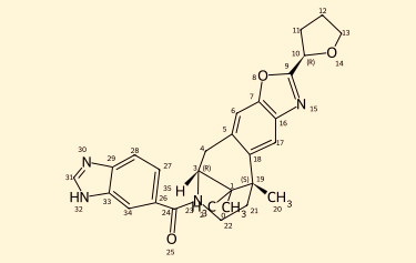 CC1(C)[C@H]2Cc3cc4oc([C@H]5CCCO5)nc4cc3[C@]1(C)CCN2C(=O)c1ccc2nc[nH]c2c1